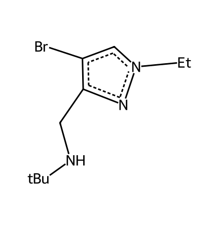 CCn1cc(Br)c(CNC(C)(C)C)n1